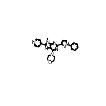 Cn1c(-c2ccncc2)nc2c(N3CCOCC3)nc(-c3ccn(-c4ccccc4)n3)nc21